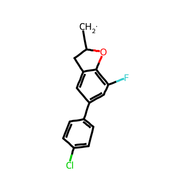 [CH2]C1Cc2cc(-c3ccc(Cl)cc3)cc(F)c2O1